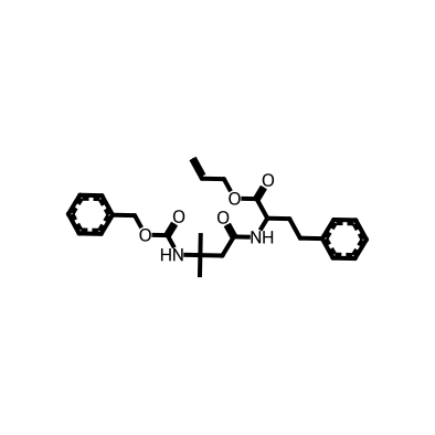 C=CCOC(=O)C(CCc1ccccc1)NC(=O)CC(C)(C)NC(=O)OCc1ccccc1